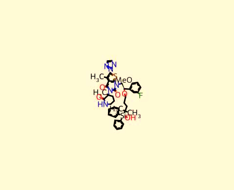 COc1ccc(F)cc1[C@H](Cn1c(=O)n(C2(C)CCCNC2=O)c(=O)c2c(C)c(-n3nccn3)sc21)OCCCC(C)(C)[Si](O)(c1ccccc1)c1ccccc1